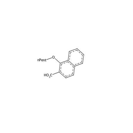 CCCCCOc1c(C(=O)O)ccc2ccccc12